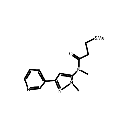 CSCCC(=O)N(C)c1cc(-c2cccnc2)nn1C